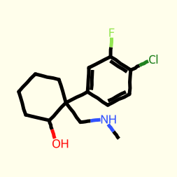 CNCC1(c2ccc(Cl)c(F)c2)CCCCC1O